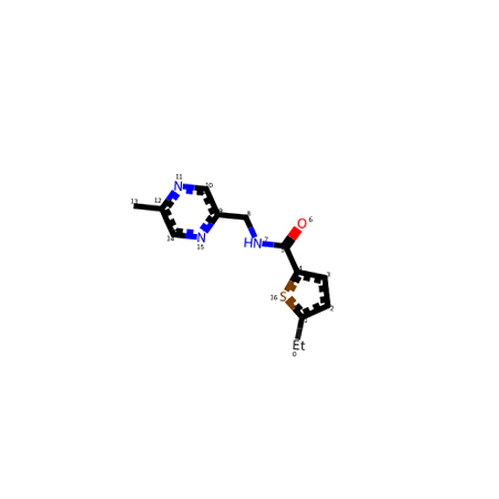 CCc1ccc(C(=O)NCc2cnc(C)cn2)s1